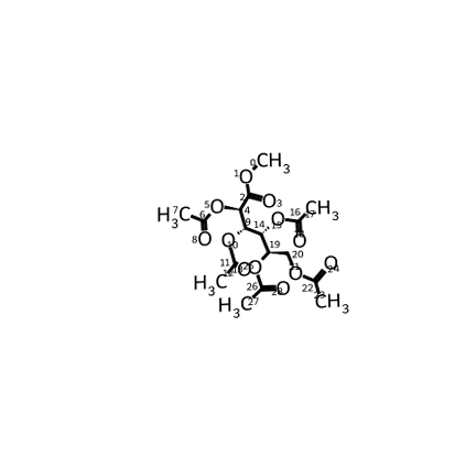 COC(=O)[C@H](OC(C)=O)[C@@H](OC(C)=O)[C@H](OC(C)=O)[C@@H](COC(C)=O)OC(C)=O